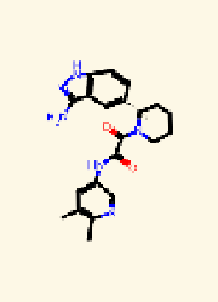 Cc1cc(NC(=O)C(=O)N2CCCC[C@H]2c2ccc3[nH]nc(N)c3c2)cnc1C